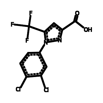 O=C(O)c1cc(C(F)(F)F)n(-c2ccc(Cl)c(Cl)c2)n1